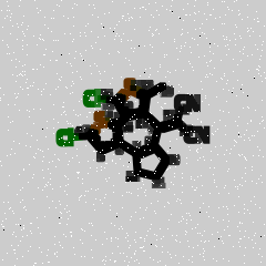 Cc1sc(Cl)cc1C1=C(C(=C(C#N)C#N)c2cc(Cl)sc2C)CCC1